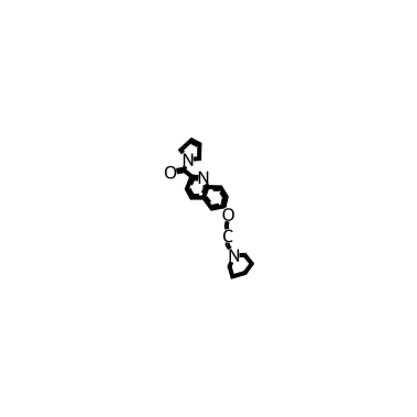 O=C(c1ccc2cc(OCCCN3CCCCC3)ccc2n1)N1CC=CC1